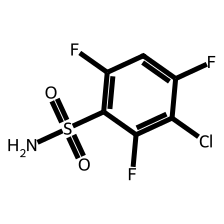 NS(=O)(=O)c1c(F)cc(F)c(Cl)c1F